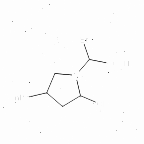 CCCC1CC(O)N(C(CC)C(=O)O)C1